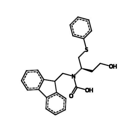 O=C(O)N(CC1c2ccccc2-c2ccccc21)[C@H](CCO)CSc1ccccc1